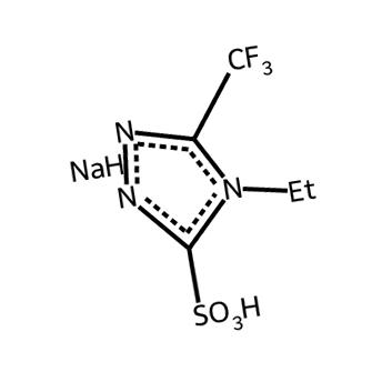 CCn1c(C(F)(F)F)nnc1S(=O)(=O)O.[NaH]